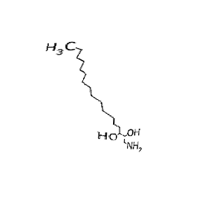 CCCCCCCCCCCCCCC(O)C(O)CN